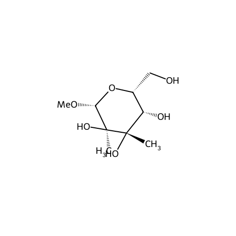 CO[C@@H]1O[C@H](CO)[C@H](O)[C@](C)(O)[C@@]1(C)O